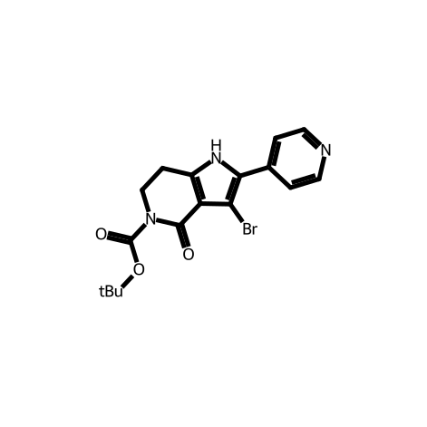 CC(C)(C)OC(=O)N1CCc2[nH]c(-c3ccncc3)c(Br)c2C1=O